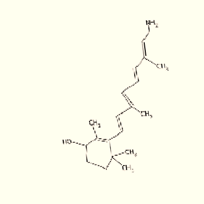 CC1=C(/C=C/C(C)=C/C=C/C(C)=C/CN)C(C)(C)CCC1O